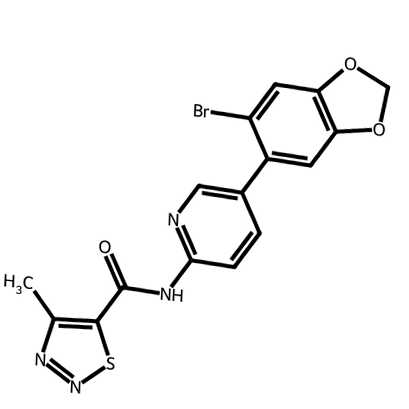 Cc1nnsc1C(=O)Nc1ccc(-c2cc3c(cc2Br)OCO3)cn1